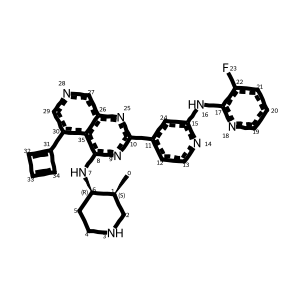 C[C@H]1CNCC[C@H]1Nc1nc(-c2ccnc(Nc3ncccc3F)c2)nc2cncc(C3=CC=C3)c12